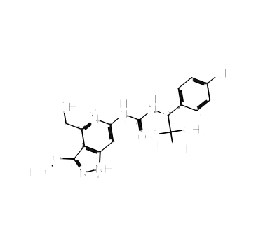 COc1n[nH]c2cc(NC(=O)N[C@@H](c3ccc(Cl)cc3)C(C)(C)O)nc(CO)c12